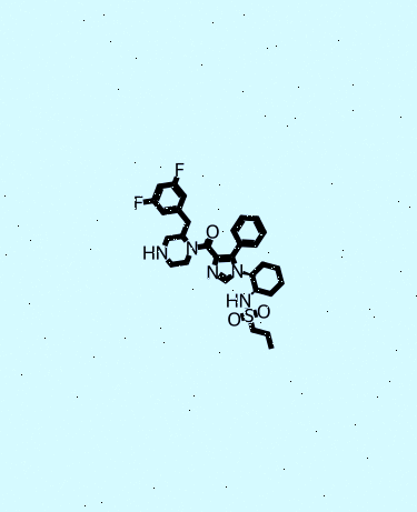 CCCS(=O)(=O)N[C@H]1CCCC[C@@H]1n1cnc(C(=O)N2CCNCC2Cc2cc(F)cc(F)c2)c1-c1ccccc1